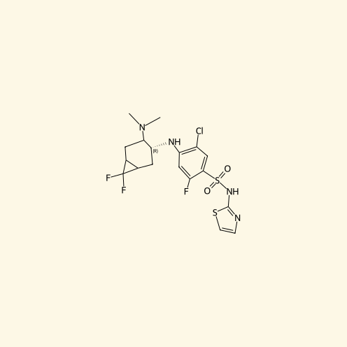 CN(C)C1CC2C(C[C@H]1Nc1cc(F)c(S(=O)(=O)Nc3nccs3)cc1Cl)C2(F)F